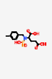 Cc1ccc(CN(C(CCC(=O)O)C(=O)O)[PH](=O)O)cc1